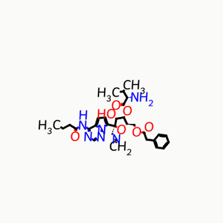 C=NC[C@@]1(c2ccc3c(NC(=O)CCC)ncnn23)O[C@H](COC(=O)Cc2ccccc2)[C@@H](OC(=O)[C@@H](N)C(C)C)[C@H]1O